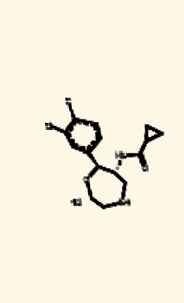 Cl.O=C(N[C@@H]1CNCCO[C@H]1c1ccc(Cl)c(Cl)c1)C1CC1